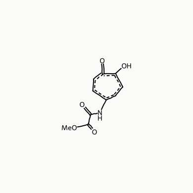 COC(=O)C(=O)Nc1ccc(O)c(=O)cc1